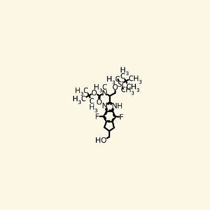 CN(C(=O)OC(C)(C)C)C(CO[Si](C)(C)C(C)(C)C)c1nc2c(F)c3c(c(F)c2[nH]1)CC(CO)C3